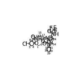 CCOc1ccc(Cl)cc1C(=O)NCC(C)(C)CC(=O)Nc1c(C(C)CNC(=O)C(F)(F)F)n(C)n(-c2ccccc2)c1=O